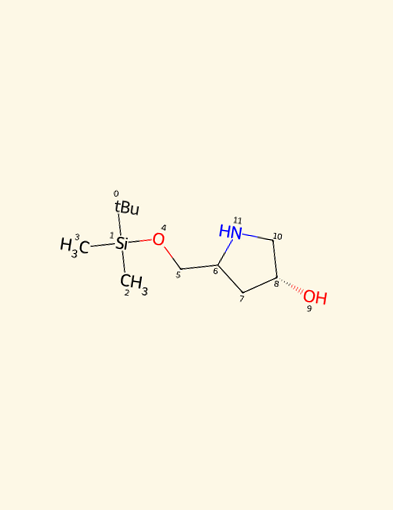 CC(C)(C)[Si](C)(C)OCC1C[C@@H](O)CN1